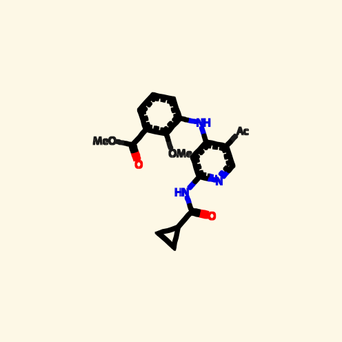 COC(=O)c1cccc(Nc2cc(NC(=O)C3CC3)ncc2C(C)=O)c1OC